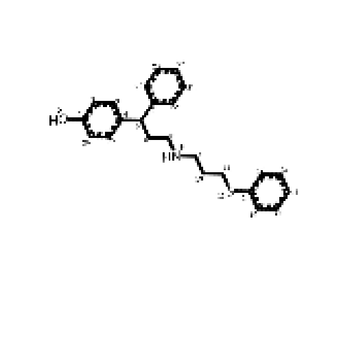 Oc1ccc(C(CCNCCCSc2ccccc2)c2ccccc2)cc1